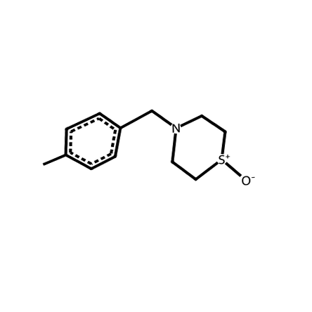 Cc1ccc(CN2CC[S+]([O-])CC2)cc1